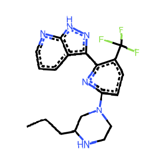 CCCC1CN(c2ccc(C(F)(F)F)c(-c3n[nH]c4ncccc34)n2)CCN1